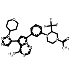 CC(=O)N1CCN(c2cccc(-c3cc(-c4cnnn4C4CCOCC4)c4c(N)ncnn34)c2)C(C(F)(F)F)C1